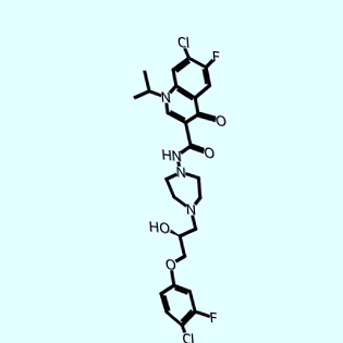 CC(C)n1cc(C(=O)NN2CCN(C[C@H](O)COc3ccc(Cl)c(F)c3)CC2)c(=O)c2cc(F)c(Cl)cc21